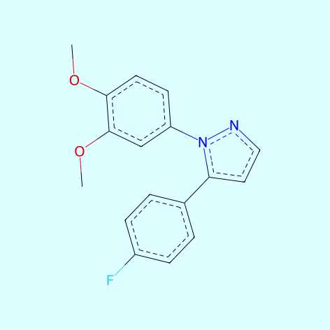 COc1ccc(-n2nccc2-c2ccc(F)cc2)cc1OC